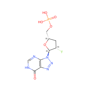 O=c1[nH]cnc2c1nnn2[C@H]1O[C@H](COP(=O)(O)O)C[C@@H]1F